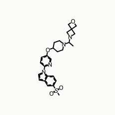 CC(N1CCC(Oc2ccc(-n3ccc4cc(S(C)(=O)=O)ccc43)nc2)CC1)N1CC2(COC2)C1